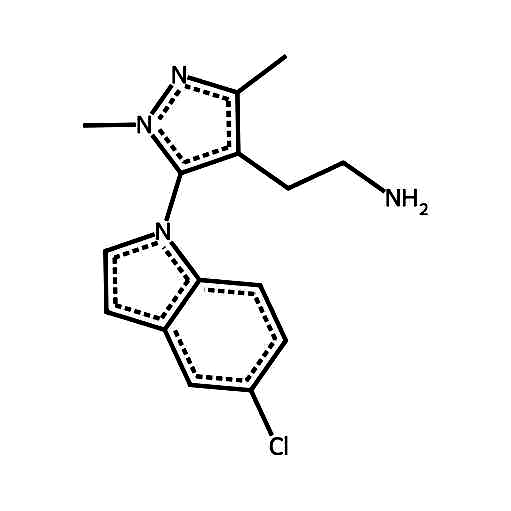 Cc1nn(C)c(-n2ccc3cc(Cl)ccc32)c1CCN